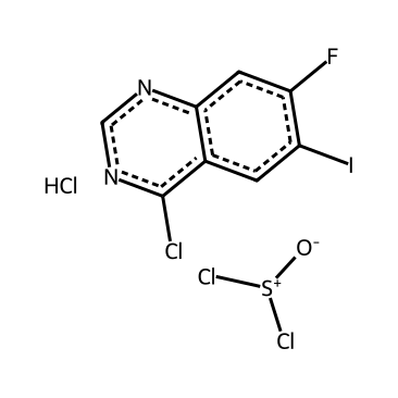 Cl.Fc1cc2ncnc(Cl)c2cc1I.[O-][S+](Cl)Cl